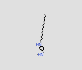 CCCCCCCCCCCCCCCCNc1ccc(C[NH])cc1